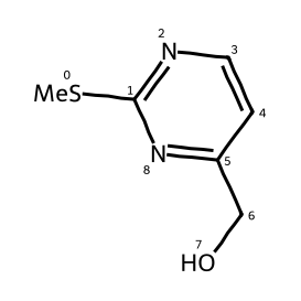 CSc1nccc(CO)n1